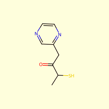 CC(S)C(=O)Cc1cnccn1